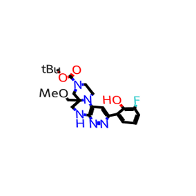 COCC12CNc3nnc(-c4cccc(F)c4O)cc3N1CCN(C(=O)OC(C)(C)C)C2